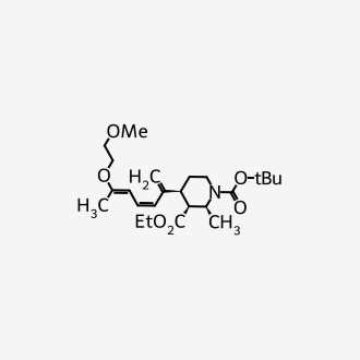 C=C(/C=C\C=C(/C)OCCOC)[C@H]1CCN(C(=O)OC(C)(C)C)[C@@H](C)[C@H]1C(=O)OCC